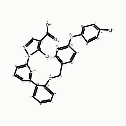 Cc1c(C(=O)O)cnn1-c1cccc(-c2ccccc2OCc2ccc(Oc3ccc(Cl)cc3)nc2)n1